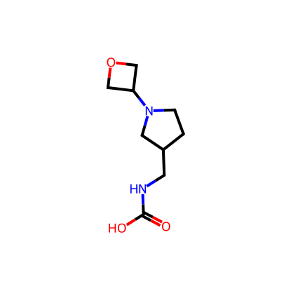 O=C(O)NCC1CCN(C2COC2)C1